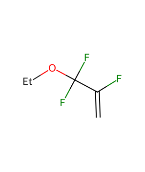 C=C(F)C(F)(F)OCC